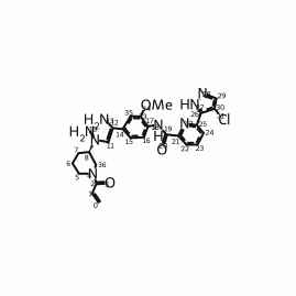 C=CC(=O)N1CCC[C@@H](N(N)/C=C(\N)c2ccc(NC(=O)c3cccc(-c4[nH]ncc4Cl)n3)c(OC)c2)C1